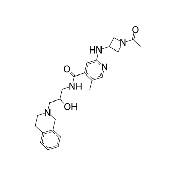 CC(=O)N1CC(Nc2cc(C(=O)NCC(O)CN3CCc4ccccc4C3)c(C)cn2)C1